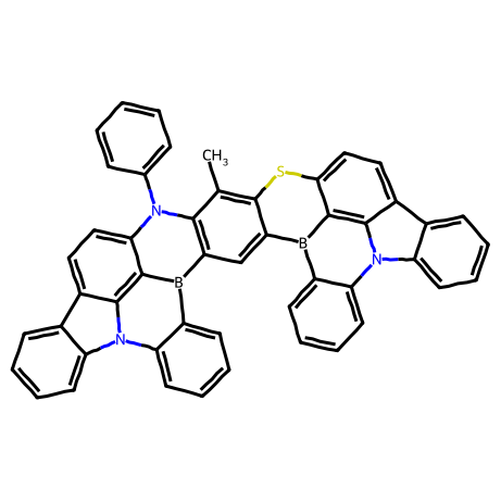 Cc1c2c(cc3c1N(c1ccccc1)c1ccc4c5ccccc5n5c4c1B3c1ccccc1-5)B1c3ccccc3-n3c4ccccc4c4ccc(c1c43)S2